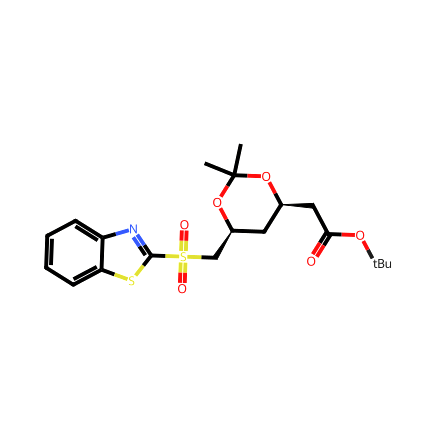 CC(C)(C)OC(=O)C[C@H]1C[C@@H](CS(=O)(=O)c2nc3ccccc3s2)OC(C)(C)O1